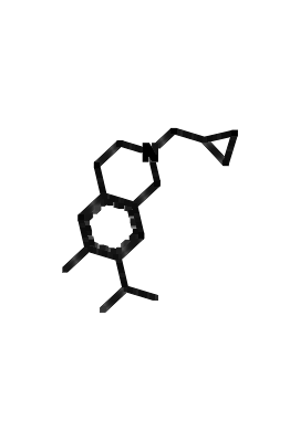 Cc1cc2c(cc1C(C)C)CN(CC1CC1)CC2